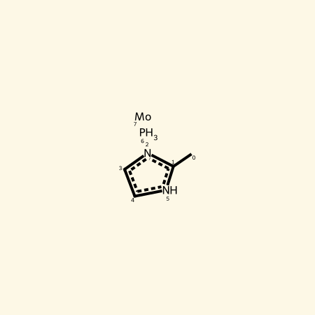 Cc1ncc[nH]1.P.[Mo]